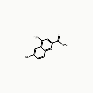 COC(=O)c1cc(N)c2cc(C#N)ccc2n1